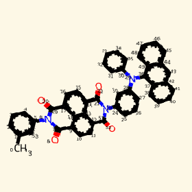 Cc1cccc(N2C(=O)c3ccc4c5c(ccc(c35)C2=O)C(=O)N(c2cccc(N(c3ccccc3)c3c5ccccc5cc5ccccc35)c2)C4=O)c1